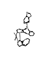 CC1(C)c2ccc3ccccc3c2-c2c1ccc1c2c2ccccc2n1-c1ccc2c(c1)CC=N2